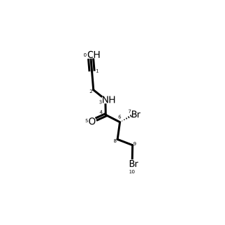 C#CCNC(=O)[C@H](Br)CCBr